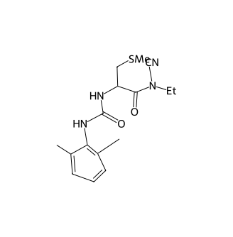 CCN(C#N)C(=O)C(CSC)NC(=O)Nc1c(C)cccc1C